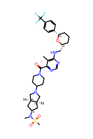 Cc1c(NC[C@H]2CCC[C@@H](c3ccc(C(F)(F)F)cc3)O2)ncnc1C(=O)N1CCC(N2C[C@H]3C[C@@H](N(C)S(C)(=O)=O)C[C@H]3C2)CC1